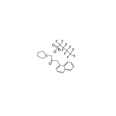 O=C(Cc1cccc2ccccc12)C[S+]1CCCC1.O=S(=O)([O-])C(F)(F)C(F)(F)C(F)(F)C(F)(F)F